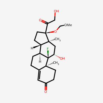 COCO[C@]1(C(=O)CO)CC[C@H]2[C@@H]3CCC4=CC(=O)CC[C@]4(C)[C@@]3(F)[C@@H](O)C[C@@]21C